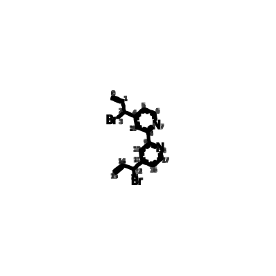 C=CC(Br)c1ccnc(-c2cc(C(Br)C=C)ccn2)c1